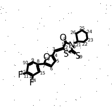 O=C1/C(=C/c2ccc(-c3ccc(F)c(F)c3)o2)SC(=S)N1C1CCCCC1